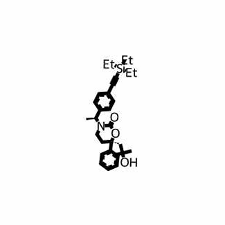 CC[Si](C#Cc1ccc([C@H](C)N2CC[C@](CC(C)(C)O)(c3ccccc3)OC2=O)cc1)(CC)CC